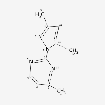 Cc1ccnc(-n2nc(C)cc2C)n1